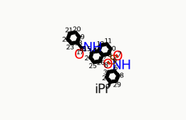 CC(C)c1ccc(NS(=O)(=O)c2cccc3c(NC(=O)c4ccccc4)cccc23)cc1